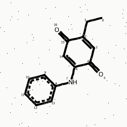 CCC1=CC(=O)C(Nc2ccccc2)=CC1=O